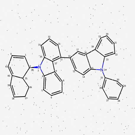 C1=C[C@@H](n2c3ccccc3c3c(-c4ccc5c(c4)c4ccccc4n5-c4ccccc4)cccc32)C2CCC=CC2=C1